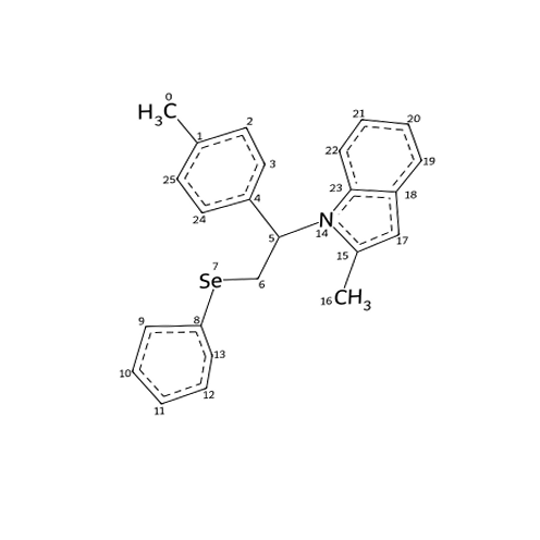 Cc1ccc(C(C[Se]c2ccccc2)n2c(C)cc3ccccc32)cc1